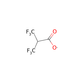 [O]C(=O)C(C(F)(F)F)C(F)(F)F